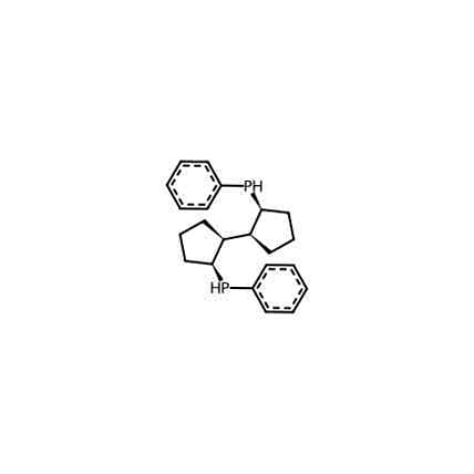 c1ccc(P[C@H]2CCC[C@H]2[C@@H]2CCC[C@@H]2Pc2ccccc2)cc1